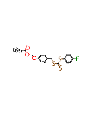 CC(C)(C)C(=O)OCOc1ccc(CSC(=S)Sc2ccc(F)cc2)cc1